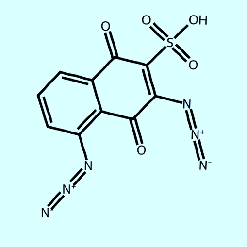 [N-]=[N+]=NC1=C(S(=O)(=O)O)C(=O)c2cccc(N=[N+]=[N-])c2C1=O